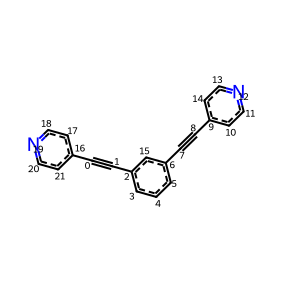 C(#Cc1cccc(C#Cc2ccncc2)c1)c1ccncc1